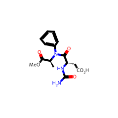 COC(=O)[C@H](C)N(C(=O)[C@H](CC(=O)O)NC(N)=O)c1ccccc1